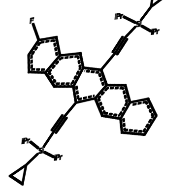 CC(C)[Si](C#Cc1c2cc3ccccc3cc2c(C#C[Si](C(C)C)(C(C)C)C2CC2)c2cc3cc(F)ccc3cc12)(C(C)C)C1CC1